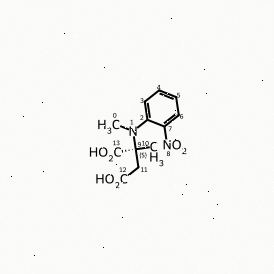 CN(c1ccccc1[N+](=O)[O-])[C@@](C)(CC(=O)O)C(=O)O